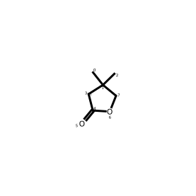 CC1(C)[C]C(=O)OC1